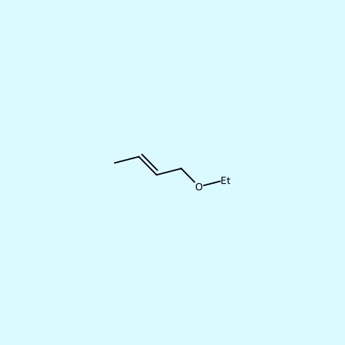 [CH2]COC/C=C/C